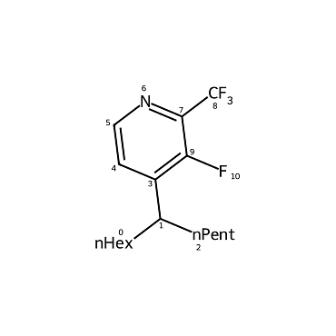 CCCCCCC(CCCCC)c1ccnc(C(F)(F)F)c1F